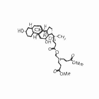 COC(=O)CCN(CCC(=O)OC)COC(=O)CC[C@@H](C)[C@H]1CC[C@H]2[C@@H]3CC[C@@H]4C[C@@H](O)CC[C@]4(C)[C@H]3C[C@H](O)[C@]12C